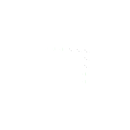 [Cl-].[Cl-].[Cl-].[Cl-].[Cl-].[Na+].[Na+].[Na+].[Na+].[Na+]